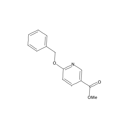 COC(=O)c1[c]cc(OCc2ccccc2)nc1